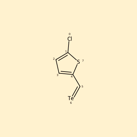 Clc1ccc(C=[Te])s1